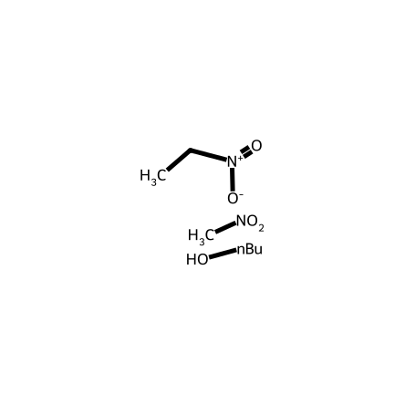 CCCCO.CC[N+](=O)[O-].C[N+](=O)[O-]